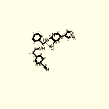 C[C@H](CN[C@H](c1ccccc1)[C@H]1CNc2cc(-c3cnn(C)c3)cnc2N1)c1ccc(C#N)cc1